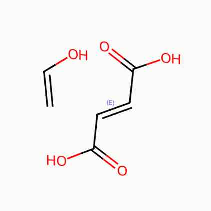 C=CO.O=C(O)/C=C/C(=O)O